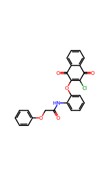 O=C(COc1ccccc1)Nc1ccccc1OC1=C(Cl)C(=O)c2ccccc2C1=O